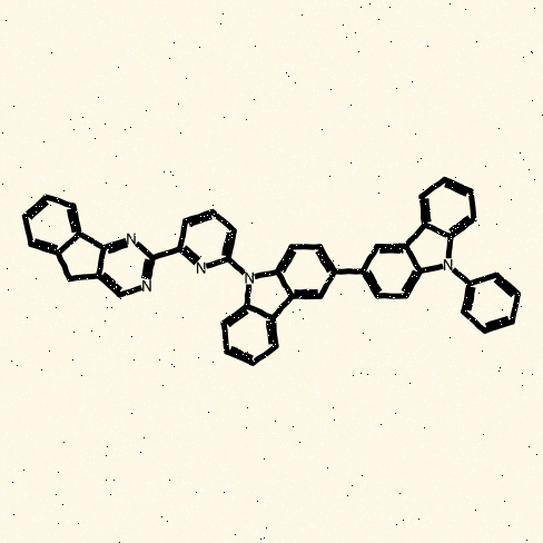 c1ccc(-n2c3ccccc3c3cc(-c4ccc5c(c4)c4ccccc4n5-c4cccc(-c5ncc6c(n5)-c5ccccc5C6)n4)ccc32)cc1